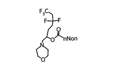 CCCCCCCCCC(=O)OC(CCC(F)(F)CC(F)(F)F)CN1CCOCC1